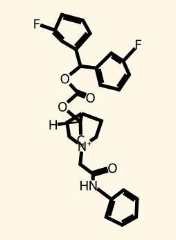 O=C(C[N+]12CCC(CC1)[C@@H](OC(=O)OC(c1cccc(F)c1)c1cccc(F)c1)C2)Nc1ccccc1